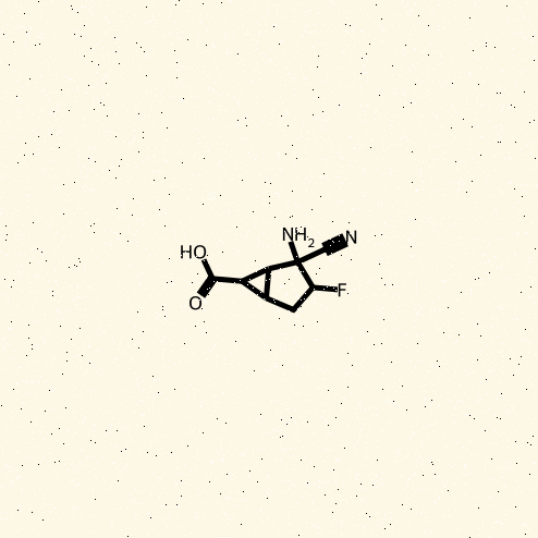 N#CC1(N)C(F)CC2C(C(=O)O)C21